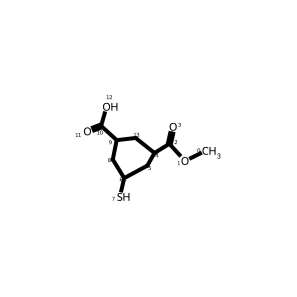 COC(=O)C1CC(S)CC(C(=O)O)C1